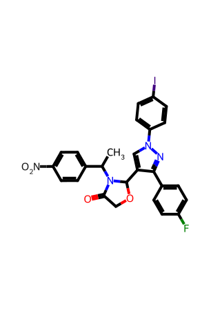 CC(c1ccc([N+](=O)[O-])cc1)N1C(=O)COC1c1cn(-c2ccc(I)cc2)nc1-c1ccc(F)cc1